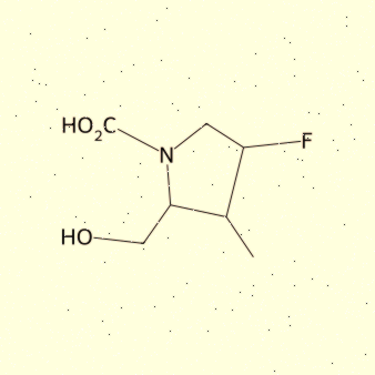 CC1C(F)CN(C(=O)O)C1CO